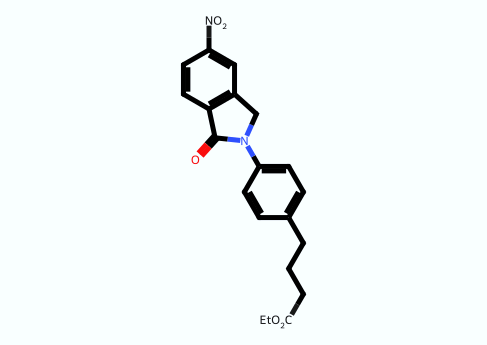 CCOC(=O)CCCc1ccc(N2Cc3cc([N+](=O)[O-])ccc3C2=O)cc1